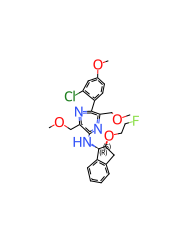 COCc1nc(-c2ccc(OC)cc2Cl)c(COC)nc1N[C@@H]1c2ccccc2C[C@@H]1OCCF